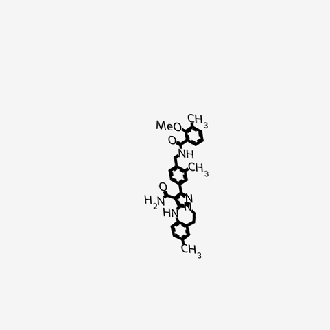 COc1c(C)cccc1C(=O)NCc1ccc(-c2nn3c(c2C(N)=O)Nc2ccc(C)cc2CC3)cc1C